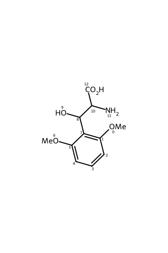 COc1cccc(OC)c1C(O)C(N)C(=O)O